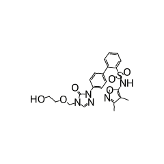 Cc1noc(NS(=O)(=O)c2ccccc2-c2ccc(-n3ncn(COCCO)c3=O)cc2)c1C